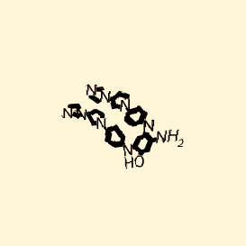 CN1C=CN(C2CCN(c3ccc(N=C4C=C(Nc5ccc(N6CCC(n7cc[n+](C)c7)C6)cc5)C(=O)C=C4N)cc3)C2)C1